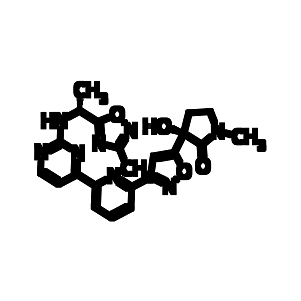 Cc1noc([C@@H](C)Nc2nccc(-c3cccc(-c4cc([C@]5(O)CCN(C)C5=O)on4)n3)n2)n1